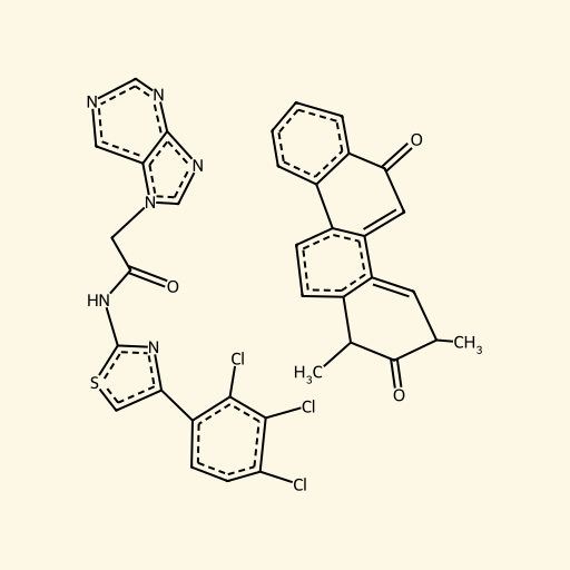 CC1C=c2c(ccc3c2=CC(=O)c2ccccc2-3)C(C)C1=O.O=C(Cn1cnc2ncncc21)Nc1nc(-c2ccc(Cl)c(Cl)c2Cl)cs1